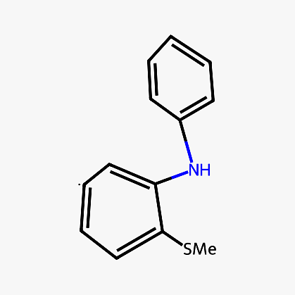 CSc1cc[c]cc1Nc1ccccc1